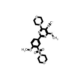 [C-]#[N+]c1c(SC)nc(-c2ccc(OC)c(S(=O)(=O)N3CCOCC3)c2)nc1N1CCOCC1